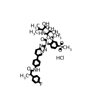 COc1cc(S(C)(=O)=O)ccc1N(C(=O)OC(N[C@H](C(=O)O)C(C)C)C(C)C)c1nc2ccc(-c3ccc(NC(=O)[C@H](C)c4ccc(F)cc4)cc3)cn2n1.Cl